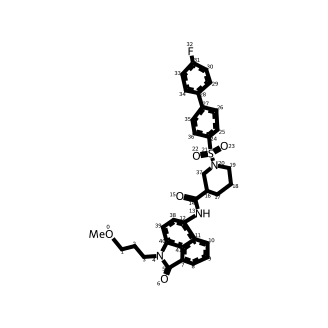 COCCCN1C(=O)c2cccc3c(NC(=O)C4CCCN(S(=O)(=O)c5ccc(-c6ccc(F)cc6)cc5)C4)ccc1c23